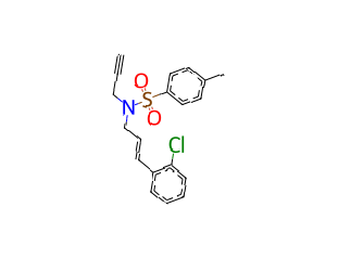 C#CCN(C/C=C/c1ccccc1Cl)S(=O)(=O)c1ccc(C)cc1